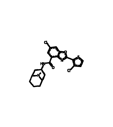 CN1C2CCCC1CC(NC(=O)c1cc(Cl)cc3oc(-c4sccc4Cl)nc13)C2